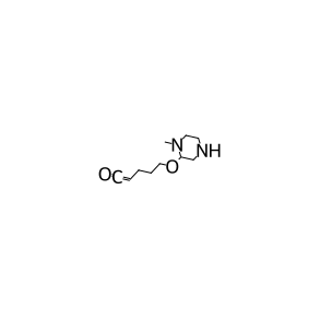 CN1CCNCC1OCCCC=C=O